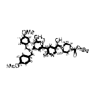 COc1ccc(CN(Cc2ccc(OC)cc2)c2cc(-c3cc([C@@H](C)N4CCN(C(=O)OC(C)(C)C)CC4)cnc3F)nc(C)n2)cc1